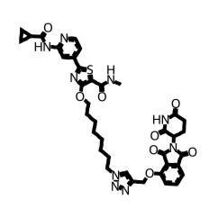 CNC(=O)c1sc(-c2ccnc(NC(=O)C3CC3)c2)nc1OCCCCCCCCn1cc(COc2cccc3c2C(=O)N(C2CCC(=O)NC2=O)C3=O)nn1